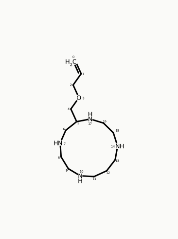 C=CCOCC1CNCCNCCCNCCN1